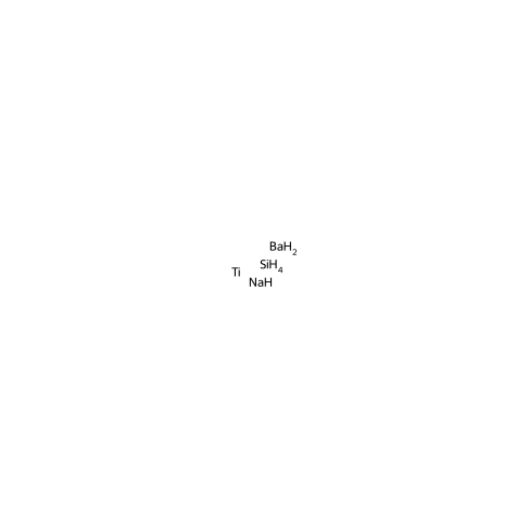 [BaH2].[NaH].[SiH4].[Ti]